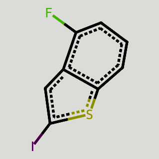 Fc1cccc2sc(I)cc12